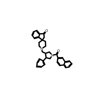 O=C1CC2(CCN(CC3CN(C(=O)c4ccc5ccccc5c4)CC3c3ccccc3)CC2)c2ccccc21